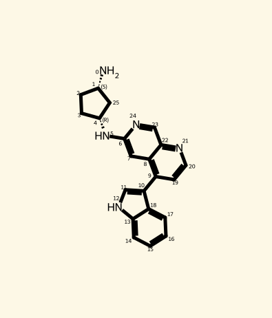 N[C@H]1CC[C@@H](Nc2cc3c(-c4c[nH]c5ccccc45)ccnc3cn2)C1